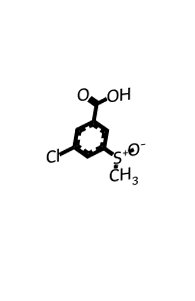 C[S+]([O-])c1cc(Cl)cc(C(=O)O)c1